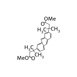 COC(=O)CC(C)(C)c1ccc2cc3ccc(C(C)(C)CC(=O)OC)cc3cc2c1